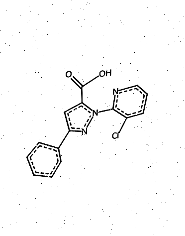 O=C(O)c1cc(-c2ccccc2)nn1-c1ncccc1Cl